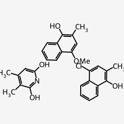 COc1cc(C)c(O)c2ccccc12.Cc1cc(Cl)c2ccccc2c1O.Cc1cc(O)nc(O)c1C